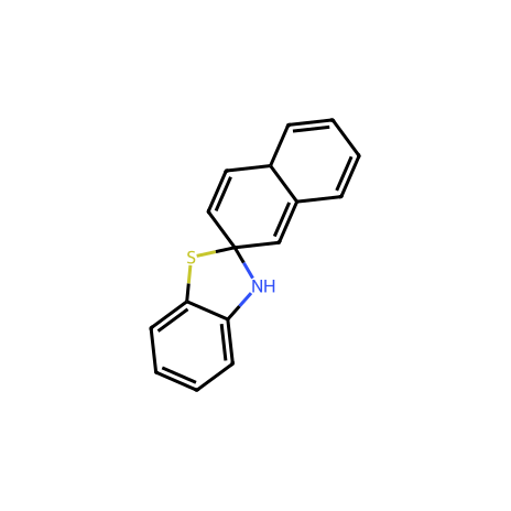 C1=CC2=CC3(C=CC2C=C1)Nc1ccccc1S3